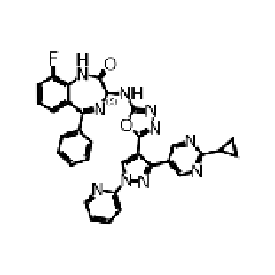 O=C1Nc2c(F)cccc2C(c2ccccc2)=N[C@@H]1Nc1nnc(-c2cn(-c3ccccn3)nc2-c2cnc(C3CC3)nc2)o1